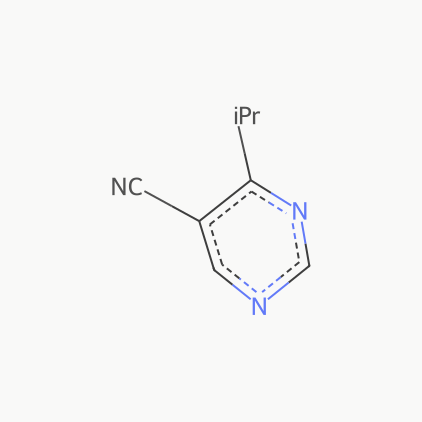 CC(C)c1ncncc1C#N